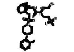 Cc1ccccc1N1CCN(S(=O)(=O)CC23CCC(CC2NC(=O)[C@H](CCS(C)(=O)=O)NCC#N)C3(C)C)CC1